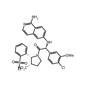 CCS(=O)(=O)c1ccccc1[C@H]1[C@@H](C(=O)O)CCN1C(=O)[C@@H](Nc1ccc2c(N)nccc2c1)c1ccc(Cl)c(OC)c1